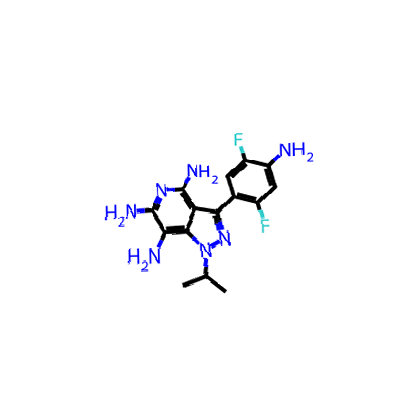 CC(C)n1nc(-c2cc(F)c(N)cc2F)c2c(N)nc(N)c(N)c21